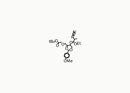 CCO[C@H](OC1COC(c2ccc(OC)cc2)O[C@H]1COCC(=O)OC(C)(C)C)C(C)N=[N+]=[N-]